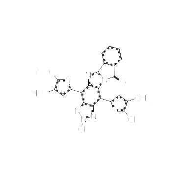 Cc1cc(-c2c3nn(C)nc3c(-c3cc(C)c(C)s3)c3c2nc2n3C(=O)c3ccccc3-2)sc1C